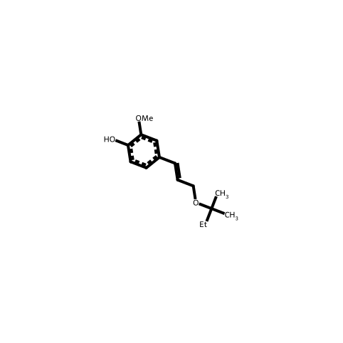 CCC(C)(C)OCC=Cc1ccc(O)c(OC)c1